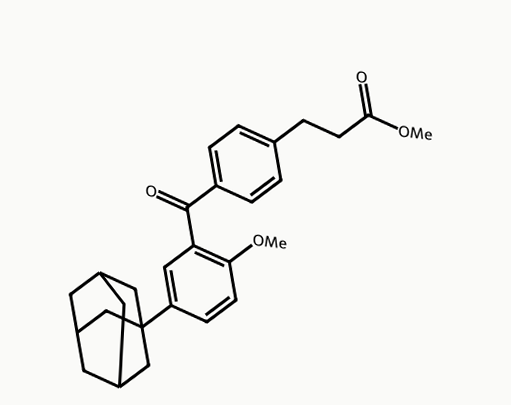 COC(=O)CCc1ccc(C(=O)c2cc(C34CC5CC(CC(C5)C3)C4)ccc2OC)cc1